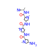 CC(C#N)NC(=O)c1cc(NC(=O)c2cc(NC(=O)c3cc(N)cn3C)cn2C)cn1C